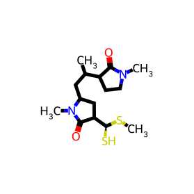 CS[C@@H](S)C1CC(CC(C)C2CCN(C)C2=O)N(C)C1=O